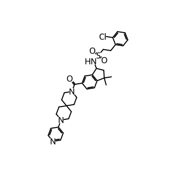 CC1(C)CC(NS(=O)(=O)CCc2ccccc2Cl)c2cc(C(=O)N3CCC4(CC3)CCN(c3ccncc3)CC4)ccc21